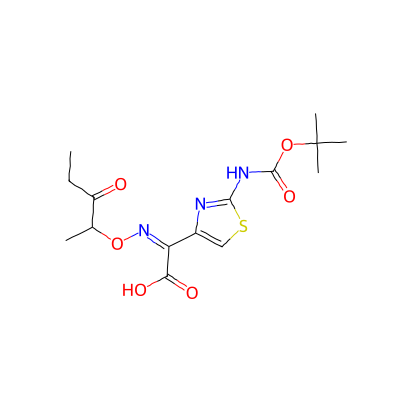 CCC(=O)C(C)O/N=C(\C(=O)O)c1csc(NC(=O)OC(C)(C)C)n1